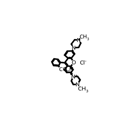 CN1CCN(c2ccc3c(-c4ccccc4C(=O)O)c4ccc(=[N+]5CCN(C)CC5)cc-4oc3c2)CC1.[Cl-]